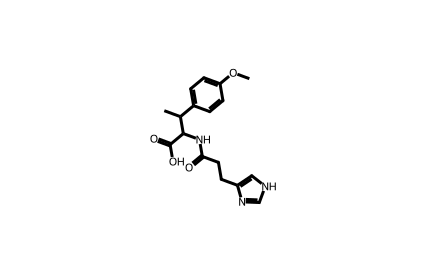 COc1ccc(C(C)C(NC(=O)CCc2c[nH]cn2)C(=O)O)cc1